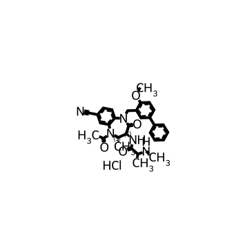 CNC(C)C(=O)N[C@@H]1C(=O)N(Cc2cc(-c3ccccc3)ccc2OC)c2ccc(C#N)cc2N(C(C)=O)[C@H]1C.Cl